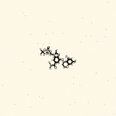 Cc1nc2c(O[C@H]3CCOc4cc(F)cc(F)c43)cc(C(=O)N(C)C)cc2n1COP(=O)(O)OC(C)(C)C